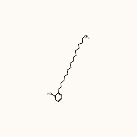 CCCCCCCCCCCCCCCCC[CH]c1ccccc1O